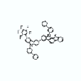 Fc1c(F)c(F)c(-c2ccc3c(c2)c2cc(-c4ccc5c(c4)c4ccc6c7ccccc7sc6c4n5-c4cccc(-c5ccccc5)c4)ccc2n3-c2cccc(-c3ccccc3)c2)c(F)c1F